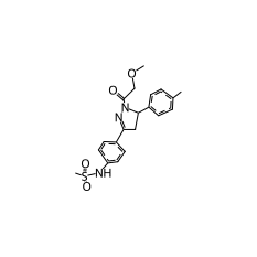 COCC(=O)N1N=C(c2ccc(NS(C)(=O)=O)cc2)CC1c1ccc(C)cc1